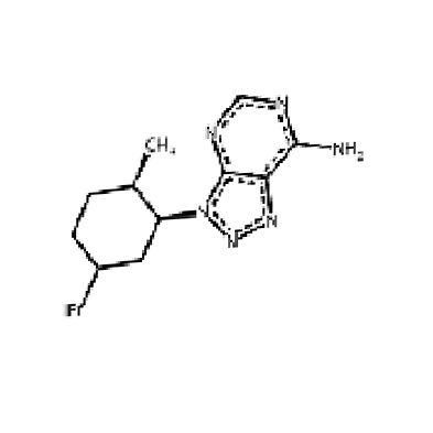 CC(C)C1CC[C@@H](C)[C@@H](n2nnc3c(N)ncnc32)C1